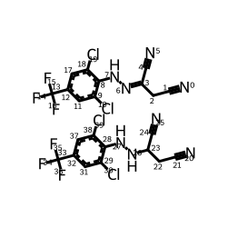 N#CCC(C#N)=NNc1c(Cl)cc(C(F)(F)F)cc1Cl.N#CCC(C#N)NNc1c(Cl)cc(C(F)(F)F)cc1Cl